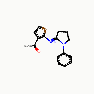 COC(=O)c1ccsc1/N=C1\CCCN1c1ccccc1